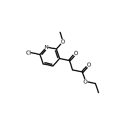 CCOC(=O)CC(=O)c1ccc(Cl)nc1OC